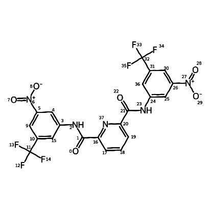 O=C(Nc1cc([N+](=O)[O-])cc(C(F)(F)F)c1)c1cccc(C(=O)Nc2cc([N+](=O)[O-])cc(C(F)(F)F)c2)n1